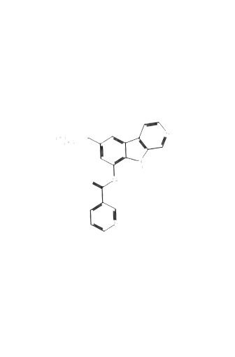 Cl.Cl.O=C(Nc1cc(Cl)cc2c1[nH]c1cnccc12)c1cccnc1